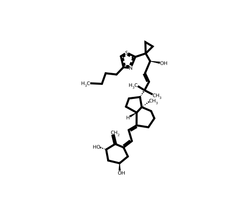 C=C1/C(=C\C=C2/CCC[C@]3(C)[C@@H](C(C)(C)/C=C/[C@H](O)C4(c5nc(CCCC)cs5)CC4)CC[C@@H]23)C[C@@H](O)C[C@@H]1O